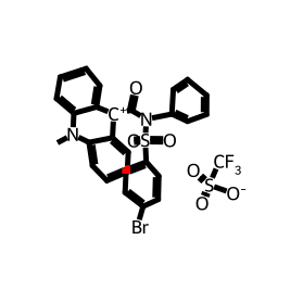 Cn1c2ccccc2[c+](C(=O)N(c2ccccc2)S(=O)(=O)c2ccc(Br)cc2)c2ccccc21.O=S(=O)([O-])C(F)(F)F